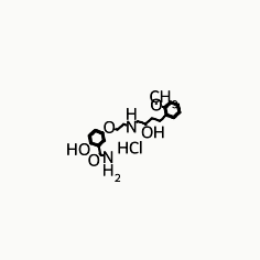 COc1ccccc1CCC(O)CNCCOc1ccc(O)c(C(N)=O)c1.Cl